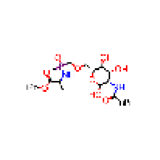 CCCC(=O)N[C@H]1C(O)O[C@H](COCP(C)(=O)N[C@@H](C)C(=O)OC(C)C)[C@@H](O)[C@@H]1O